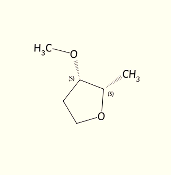 CO[C@H]1CCO[C@H]1C